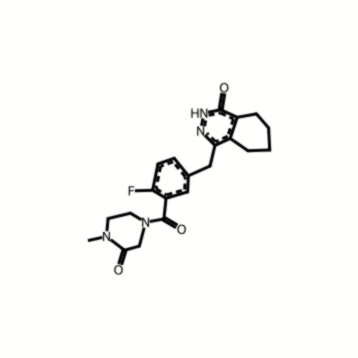 CN1CCN(C(=O)c2cc(Cc3n[nH]c(=O)c4c3CCCC4)ccc2F)CC1=O